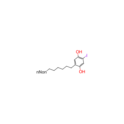 CCCCCCCCCCCCCCCc1cc(O)c(I)cc1O